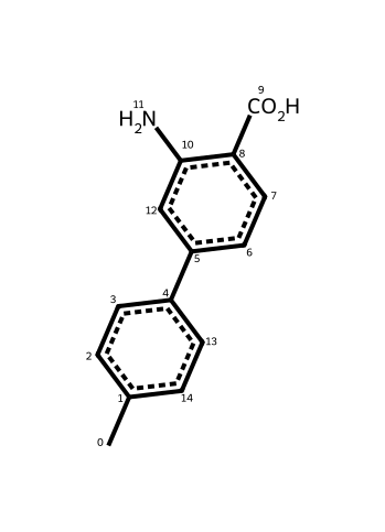 Cc1ccc(-c2ccc(C(=O)O)c(N)c2)cc1